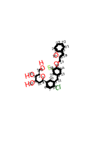 OC[C@H]1O[C@@H](c2ccc(Cl)c(Cc3ccc(OCc4cc5ccccc5o4)c(F)c3)c2)C[C@@H](O)[C@@H]1O